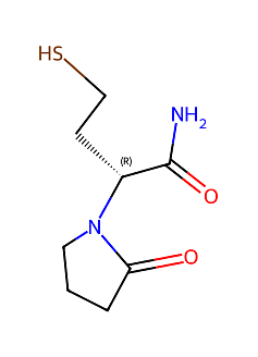 NC(=O)[C@@H](CCS)N1CCCC1=O